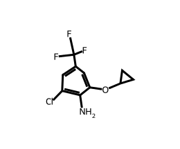 Nc1c(Cl)cc(C(F)(F)F)cc1OC1CC1